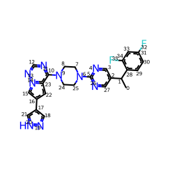 CC(c1cnc(N2CCN(c3ncnn4cc(-c5cn[nH]c5)cc34)CC2)nc1)c1ccc(F)cc1F